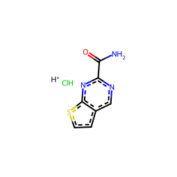 Cl.NC(=O)c1ncc2ccsc2n1.[H+]